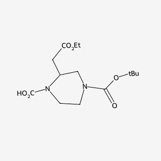 CCOC(=O)CC1CN(C(=O)OC(C)(C)C)CCN1C(=O)O